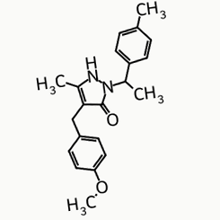 COc1ccc(Cc2c(C)[nH]n(C(C)c3ccc(C)cc3)c2=O)cc1